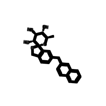 C[C@H]1O[C@]2(OCc3ccc(Cc4ccc5ccccc5c4)cc32)[C@H](O)[C@@H](O)[C@@H]1O